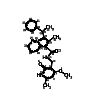 COc1cc(C)[nH]c(=O)c1CNC(=O)c1c(C)c([C@H](C)c2ccccc2)n2ncccc12